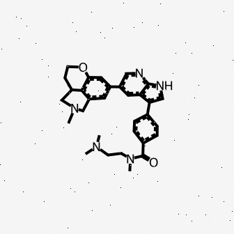 CN(C)CCN(C)C(=O)c1ccc(-c2c[nH]c3ncc(-c4cc5c6c(c4)OCCC6CN(C)C5)cc23)cc1